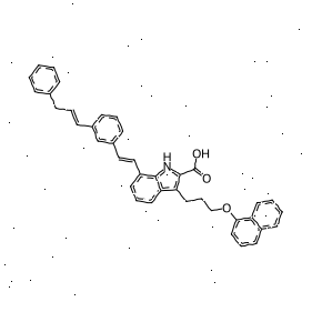 O=C(O)c1[nH]c2c(C=Cc3cccc(C=CCc4ccccc4)c3)cccc2c1CCCOc1cccc2ccccc12